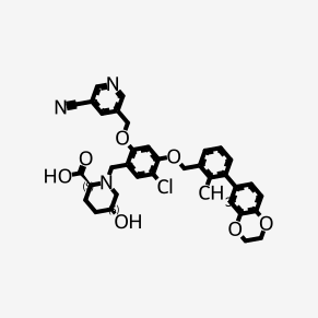 Cc1c(COc2cc(OCc3cncc(C#N)c3)c(CN3C[C@@H](O)CC[C@H]3C(=O)O)cc2Cl)cccc1-c1ccc2c(c1)OCCO2